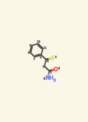 NC(=O)CC(=S)c1ccccc1